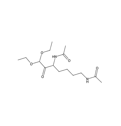 CCOC(OCC)C(=O)C(CCCCNC(C)=O)NC(C)=O